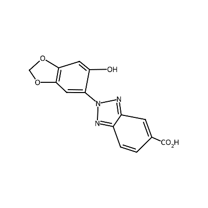 O=C(O)c1ccc2nn(-c3cc4c(cc3O)OCO4)nc2c1